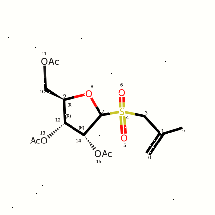 C=C(C)CS(=O)(=O)C1O[C@H](COC(C)=O)[C@@H](OC(C)=O)[C@H]1OC(C)=O